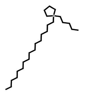 CCCCCCCCCCCCCCCC[N+]1(CCCCC)CCCC1